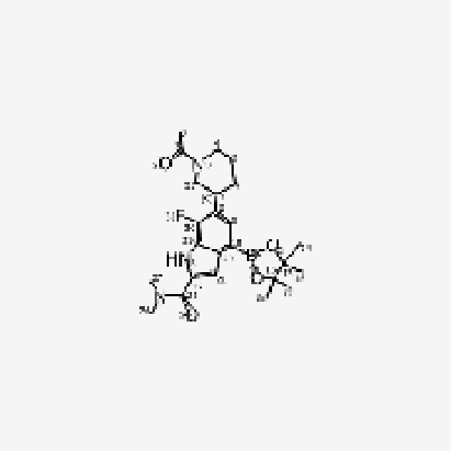 CC(=O)N1CCC[C@@H](c2cc(B3OC(C)(C)C(C)(C)O3)c3cc(C(=O)N(C)C)[nH]c3c2F)C1